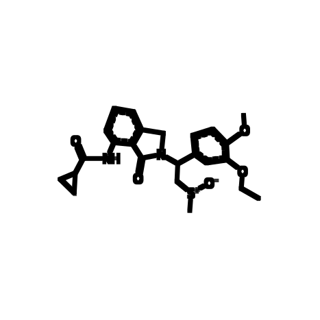 CCOc1cc(C(C[S+](C)[O-])N2Cc3cccc(NC(=O)C4CC4)c3C2=O)ccc1OC